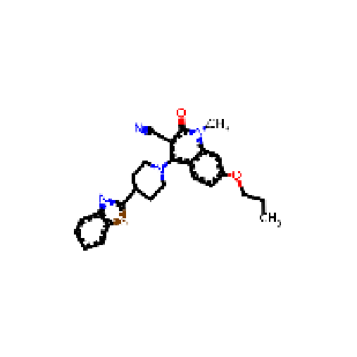 CCCOc1ccc2c(N3CCC(c4nc5ccccc5s4)CC3)c(C#N)c(=O)n(C)c2c1